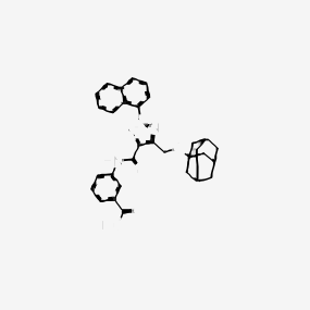 O=C(O)c1cccc(NC(=O)c2nn(-c3cccc4ccccc34)nc2COC23CC4CC(CC(C4)C2)C3)c1